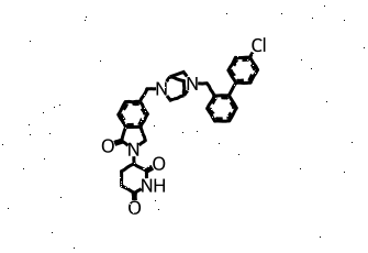 O=C1CCC(N2Cc3cc(CN4CC5CC4CN5Cc4ccccc4-c4ccc(Cl)cc4)ccc3C2=O)C(=O)N1